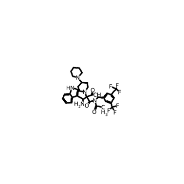 CC(=O)N(Cc1cc(C(F)(F)F)cc(C(F)(F)F)c1)C(=O)C(C(C)=O)(C(N)c1c[nH]c2ccccc12)N1CCC(N2CCCCC2)CC1